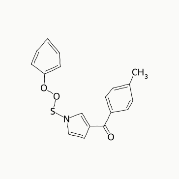 Cc1ccc(C(=O)c2ccn(SOOc3ccccc3)c2)cc1